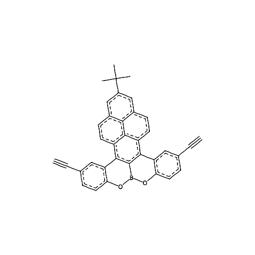 C#Cc1ccc2c(c1)-c1c3c(c4ccc5cc(C(C)(C)C)cc6ccc1c4c65)-c1cc(C#C)ccc1OB3O2